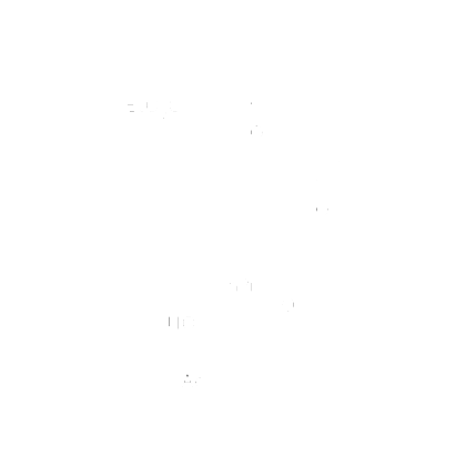 CCCc1c(OCCCOc2ccc3c(c2)OC(C)(CCC(=O)OCC)CC3)ccc(C(C)=O)c1O